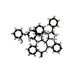 C=C1CC2c3ccccc3N3N=C(c4ccccc4)N(c4ccccc4)C3C2C2N(C)c3cnc(-c4ccccc4C)nc3N2c2ccccc21